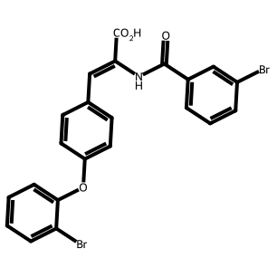 O=C(O)C(=Cc1ccc(Oc2ccccc2Br)cc1)NC(=O)c1cccc(Br)c1